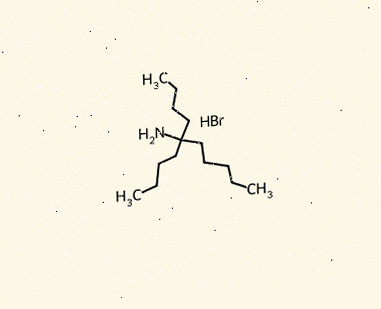 Br.CCCCCC(N)(CCCC)CCCC